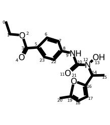 CCOC(=O)c1ccc(NC(=O)N(O)C(C)c2ccc(C)o2)cc1